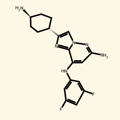 Nc1cc(Nc2cc(F)cc(F)c2)c2nc([C@H]3CC[C@H](N)CC3)cn2n1